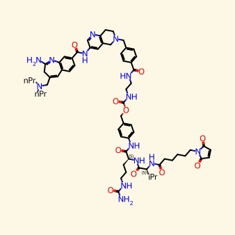 CCCN(CCC)CC1=Cc2ccc(C(=O)Nc3cnc4c(c3)CN(Cc3ccc(C(=O)NCCNC(=O)OCc5ccc(NC(=O)[C@H](CCCNC(N)=O)NC(=O)[C@@H](NC(=O)CCCCCN6C(=O)C=CC6=O)C(C)C)cc5)cc3)CC4)cc2N=C(N)C1